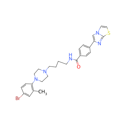 Cc1cc(Br)ccc1N1CCN(CCCCNC(=O)c2ccc(-c3cn4ccsc4n3)cc2)CC1